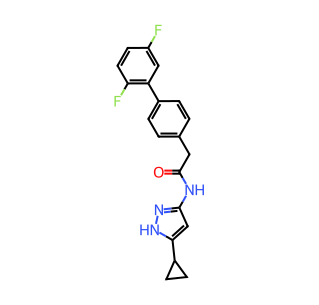 O=C(Cc1ccc(-c2cc(F)ccc2F)cc1)Nc1cc(C2CC2)[nH]n1